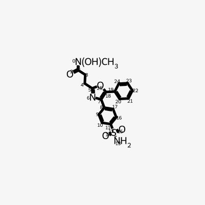 CN(O)C(=O)CCc1nc(-c2ccc(S(N)(=O)=O)cc2)c(-c2ccccc2)o1